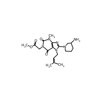 COC(=O)Cn1c(=O)c2c(nc(N3CCCC(N)C3)n2CC=C(C)C)n(C)c1=O